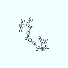 C=CC(=O)COC(CC)(COCC(CC)(COC(=O)C=C)COC(=O)CCN1CCN(c2ccc(C(=O)C(C)(C)N3CCN(CCC(=O)OCC(CC)(COCC(CC)(COC(=O)C=C)COC(=O)C=C)COC(=O)C=C)CC3)cc2)CC1)COC(=O)C=C